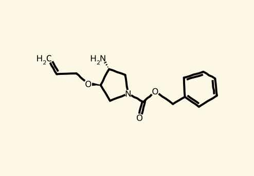 C=CCO[C@@H]1CN(C(=O)OCc2ccccc2)C[C@H]1N